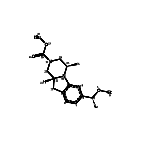 CCO[C@H](C)c1ccc2c(n1)N1[C@H](C2)CN(C(=O)OC(C)(C)C)C[C@H]1C